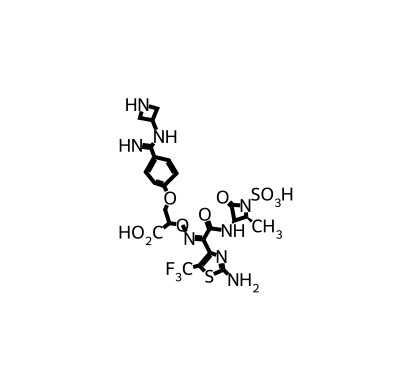 C[C@H]1[C@H](NC(=O)C(=NOC(COc2ccc(C(=N)NC3CNC3)cc2)C(=O)O)c2nc(N)sc2C(F)(F)F)C(=O)N1S(=O)(=O)O